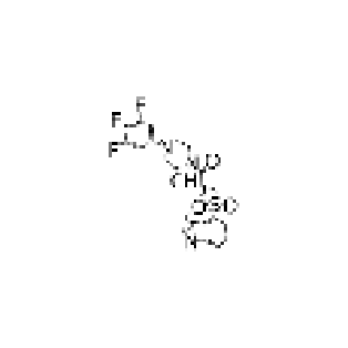 C[C@H]1CN(c2cc(F)c(F)c(F)c2)CCN1C(=O)CCS(=O)(=O)c1cccc2ncsc12